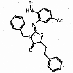 CCNc1ccc(C(C)=O)cc1N=C1SC(CCc2ccccc2)C(=O)N1Cc1ccccc1